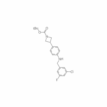 CC(C)(C)OC(=O)N1CC(c2ccc(NCc3cc(F)cc(Cl)c3)cc2)C1